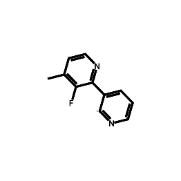 Cc1ccnc(-c2[c]nccc2)c1F